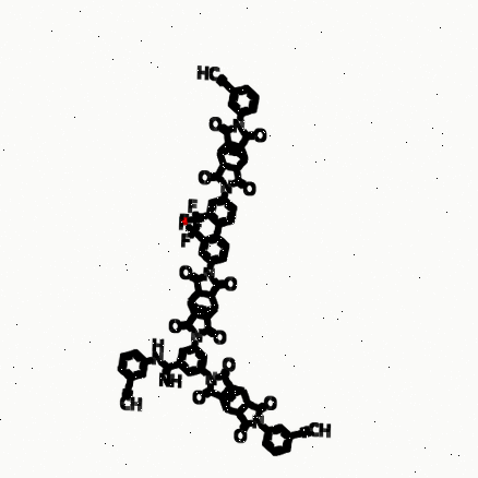 C#Cc1cccc(NC(=N)c2cc(N3C(=O)C4C5C=CC(C6C(=O)N(c7cccc(C#C)c7)C(=O)C56)C4C3=O)cc(N3C(=O)C4C5C=CC(C4C3=O)C3C(=O)N(c4ccc(-c6ccc(N7C(=O)C8C9C=CC(C%10C(=O)N(c%11cccc(C#C)c%11)C(=O)C9%10)C8C7=O)cc6C(F)(F)F)c(C(F)(F)F)c4)C(=O)C53)c2)c1